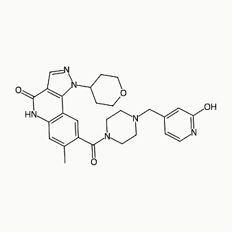 Cc1cc2[nH]c(=O)c3cnn(C4CCOCC4)c3c2cc1C(=O)N1CCN(Cc2ccnc(O)c2)CC1